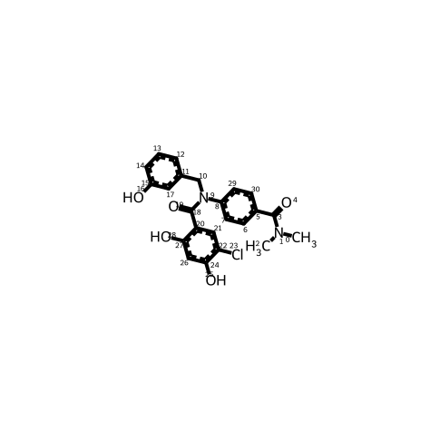 CN(C)C(=O)c1ccc(N(Cc2cccc(O)c2)C(=O)c2cc(Cl)c(O)cc2O)cc1